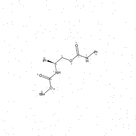 CC(C)NC(=O)OC[C@@H](NC(=O)OC(C)(C)C)C(C)C